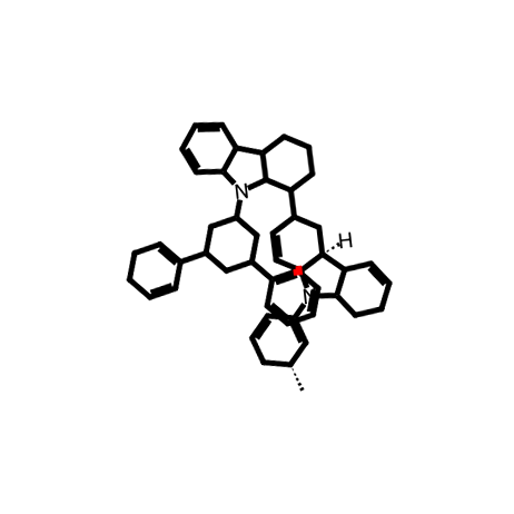 C[C@H]1C=C(N2C3CCC=CC3[C@@H]3CC(C4CCCC5C6C=CC=CC6N(C6CC(C7=CCCC=C7)CC(c7ccccc7)C6)C45)C=CC32)C=CC1